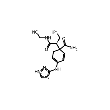 CC(C)C[C@H](C(=O)NCC#N)C1(C(N)=O)C=CC(Nc2nc[nH]n2)=CC1